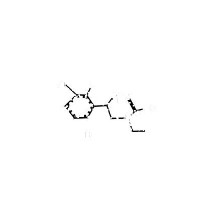 CCN(CC(N)c1cccc(Cl)c1Cl)C(=O)O.Cl